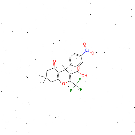 CC1(C)CC(=O)C2=C(C1)OC(C(F)(F)F)=C(C(=O)O)C2(C)c1ccc([N+](=O)[O-])cc1